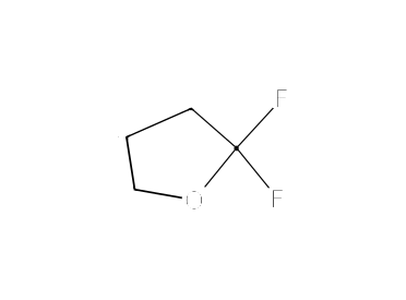 FC1(F)C[CH]CO1